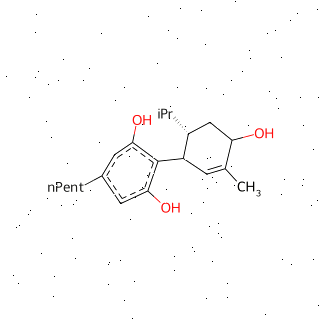 CCCCCc1cc(O)c(C2C=C(C)C(O)C[C@H]2C(C)C)c(O)c1